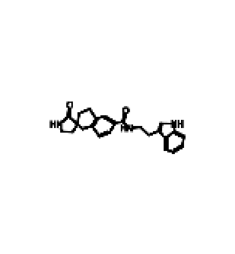 O=C(NCCc1c[nH]c2ccccc12)c1ccc2c(c1)CCC1(CCNC1=O)C2